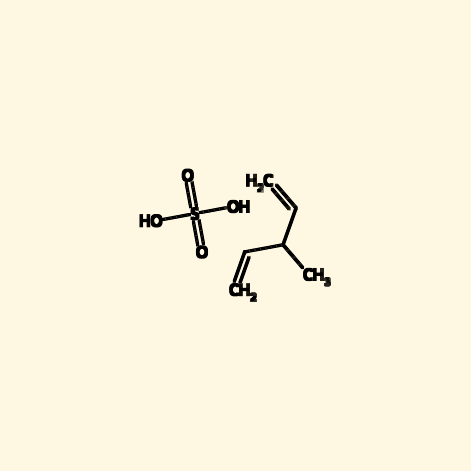 C=CC(C)C=C.O=S(=O)(O)O